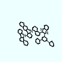 c1ccc(-c2cc(-c3ccccc3)cc(-c3nc4ccccc4nc3-c3cccc4c(-n5c6cc7ccccc7cc6c6c(-n7c8ccccc8c8ccc9ccccc9c87)cccc65)cccc34)c2)cc1